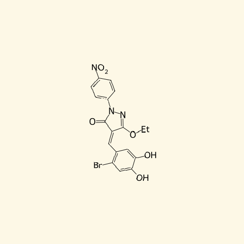 CCOC1=NN(c2ccc([N+](=O)[O-])cc2)C(=O)/C1=C/c1cc(O)c(O)cc1Br